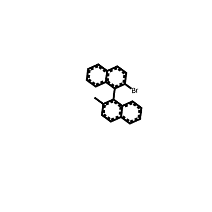 Cc1ccc2ccccc2c1-c1c(Br)ccc2ccccc12